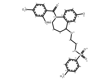 COc1cc([N+](=O)[O-])ccc1C(=O)N1CCCC(OCCOS(=O)(=O)c2ccc(C)cc2)c2cc(Cl)ccc21